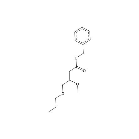 CCCOCC(CC(=O)OCc1ccccc1)OC